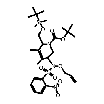 C=CCON(C1CN(C(=O)OC(C)(C)C)C(CO[Si](C)(C)C(C)(C)C)C(C)=C1C)S(=O)(=O)c1ccccc1[N+](=O)[O-]